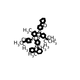 Cc1cc2c3c(c1)N(c1ccc(C(C)(C)C)cc1)c1cc(N4c5ccccc5C5(C)CCCCC45C)ccc1B3c1cc(C(C)(C)C)ccc1N2c1ccc2c(c1)oc1ccccc12